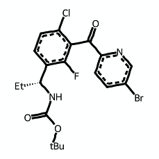 CC[C@@H](NC(=O)OC(C)(C)C)c1ccc(Cl)c(C(=O)c2ccc(Br)cn2)c1F